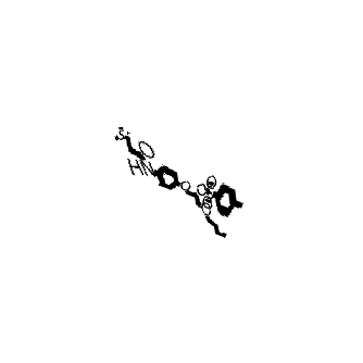 CCCCOCC(COc1ccc(NC(=O)CC[S+](C)C)cc1)OS(=O)(=O)c1ccc(C)cc1